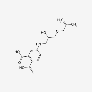 C=C(C)COCC(O)CNc1ccc(C(=O)O)c(C(=O)O)c1